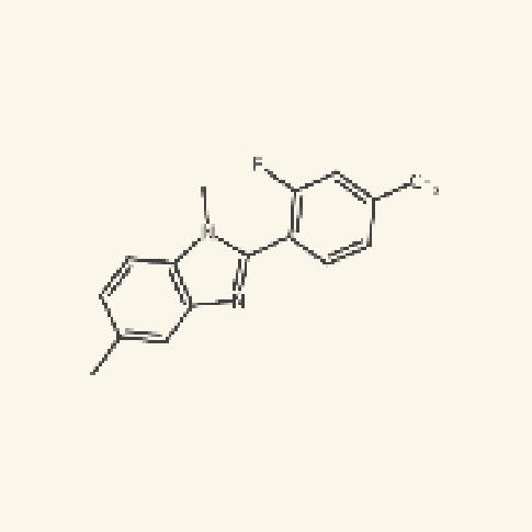 Cc1ccc2c(c1)nc(-c1ccc(C(F)(F)F)cc1F)n2C